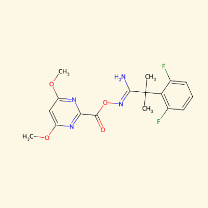 COc1cc(OC)nc(C(=O)ON=C(N)C(C)(C)c2c(F)cccc2F)n1